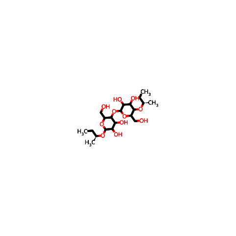 CC[C@@H](C)OC1OC(CO)C(OC2OC(CO)C(O[C@@H](C)CC)C(O)C2O)C(O)C1O